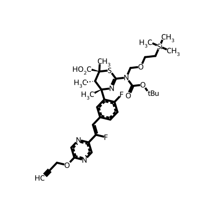 C#CCOc1cnc(/C(F)=C/c2ccc(F)c([C@@]3(C)N=C(N(COCC[Si](C)(C)C)C(=O)OC(C)(C)C)S[C@](C)(C(=O)O)[C@H]3C)c2)cn1